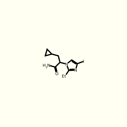 CCc1nc(I)cn1C(CC1CC1)C(N)=O